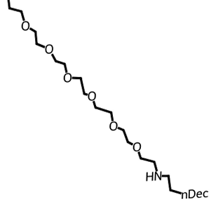 CCCCCCCCCCCCNCCOCCOCCOCCOCCOCCOCCO